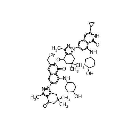 Cc1nn(-c2cc(N[C@H]3CC[C@H](O)CC3)c3c(=O)n(OC4CC(C)(C)Cc5c4c(C)nn5-c4cc(N[C@H]5CC[C@H](O)CC5)c5c(=O)[nH]c(C6CC6)cc5c4)c(CC(C)C)cc3c2)c2c1C(=O)CC(C)(C)C2